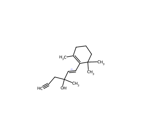 C#CCC(C)(O)/C=C/C1=C(C)CCCC1(C)C